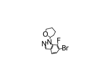 Fc1c(Br)ccc2cnn(C3CCCCO3)c12